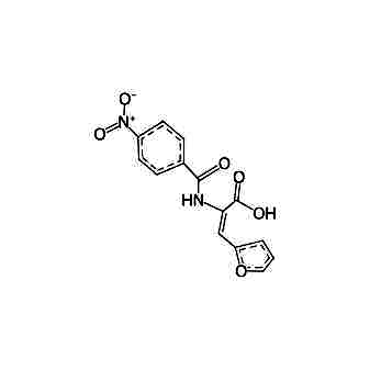 O=C(O)C(=Cc1ccco1)NC(=O)c1ccc([N+](=O)[O-])cc1